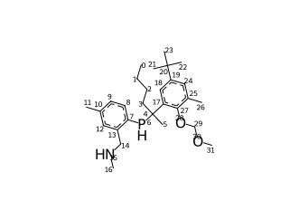 CCCCC(C)(Pc1ccc(C)cc1CNC)c1cc(C(C)(C)C)cc(C)c1OCOC